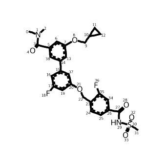 CN(C)C(=O)c1cc(OCC2CC2)cc(-c2cc(F)cc(OCc3ccc(C(=O)NS(C)(=O)=O)cc3F)c2)c1